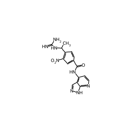 CC(NC(=N)N)c1ccc(C(=O)Nc2ccnc3[nH]ncc23)cc1[N+](=O)[O-]